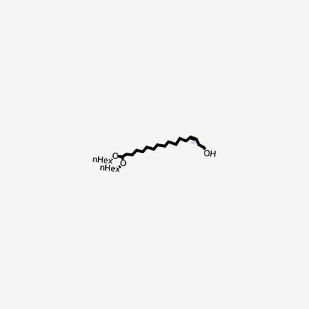 CCCCCCOC(CCCCCCCCCCCC/C=C\CCO)OCCCCCC